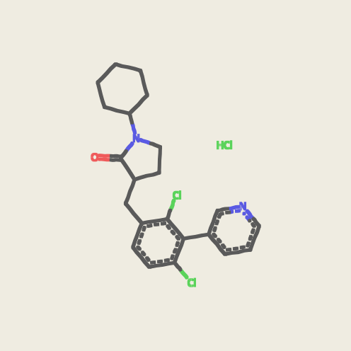 Cl.O=C1C(Cc2ccc(Cl)c(-c3cccnc3)c2Cl)CCN1C1CCCCC1